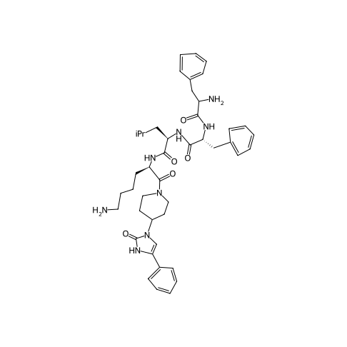 CC(C)C[C@@H](NC(=O)[C@@H](Cc1ccccc1)NC(=O)C(N)Cc1ccccc1)C(=O)N[C@H](CCCCN)C(=O)N1CCC(n2cc(-c3ccccc3)[nH]c2=O)CC1